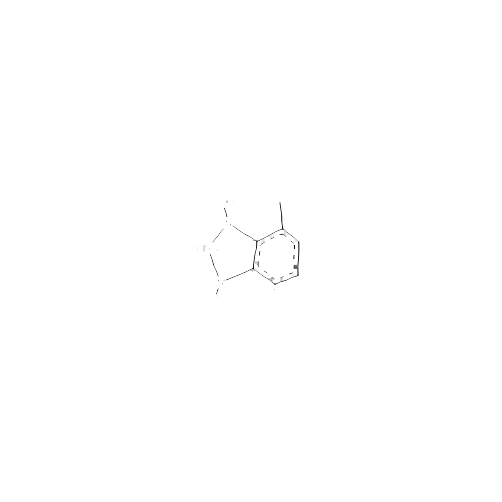 Cc1cccc2c1N(O)NN2Cl